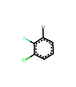 [Li][c]1cccc(Cl)c1F